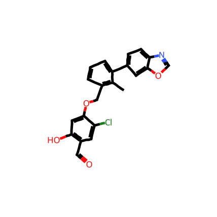 Cc1c(COc2cc(O)c(C=O)cc2Cl)cccc1-c1ccc2ncoc2c1